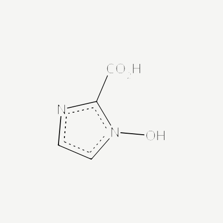 O=C(O)c1nccn1O